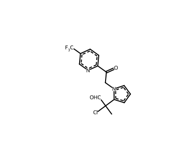 CC(Cl)(C=O)c1cccn1CC(=O)c1ccc(C(F)(F)F)cn1